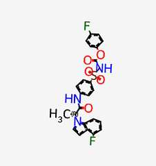 C[C@H](C(=O)Nc1ccc(S(=O)(=O)NC(=O)Oc2ccc(F)cc2)cc1)n1ccc2c(F)cccc21